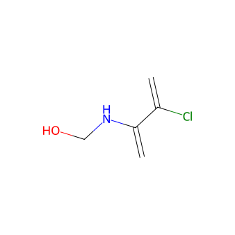 C=C(Cl)C(=C)NCO